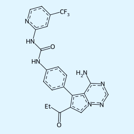 CCC(=O)c1cn2ncnc(N)c2c1-c1ccc(NC(=O)Nc2cc(C(F)(F)F)ccn2)cc1